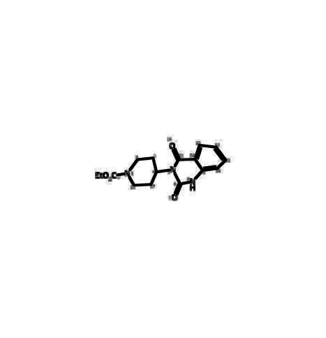 CCOC(=O)N1CCC(n2c(=O)[nH]c3ccccc3c2=O)CC1